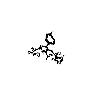 CC(C)c1nc(N(C)S(C)(=O)=O)nc(-c2ccc(F)cc2)c1CS(=O)(=O)c1nncn1C